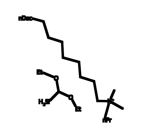 CCCCCCCCCCCCCCCCCC[N+](C)(C)CCC.CCOC([SiH3])OCC